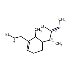 C/C=C(\CC)[C@H](C)C1CCC=C(CNCC)C1C